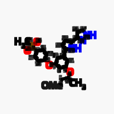 COC[C@H](C)Oc1cc(Oc2ccc(S(C)(=O)=O)cc2)cc(-c2ccc(-c3cc[nH]n3)[nH]2)c1